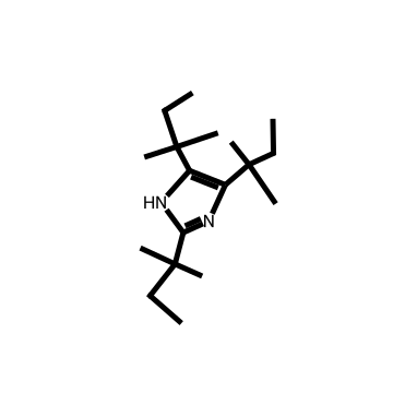 CCC(C)(C)c1nc(C(C)(C)CC)c(C(C)(C)CC)[nH]1